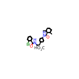 Cc1cccc(C)c1C(=O)Nc1ccc(C[C@H](NC(=O)c2ccccc2Br)C(=O)O)cc1